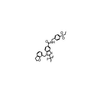 CCS(=O)(=O)c1ccc(CNC(=O)c2ccc3c(c2)nc(C(F)(F)F)n3Cc2cccc3c2OCC3)cc1